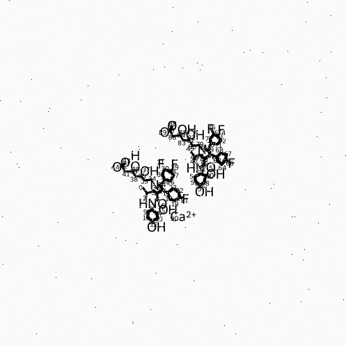 CC(C)c1c(C(=O)Nc2ccc(O)cc2O)c(-c2ccc(F)cc2)c(-c2ccc(F)c(F)c2)n1CC[C@@H](O)C[C@@H](O)CC(=O)[O-].CC(C)c1c(C(=O)Nc2ccc(O)cc2O)c(-c2ccc(F)cc2)c(-c2ccc(F)c(F)c2)n1CC[C@@H](O)C[C@@H](O)CC(=O)[O-].[Ca+2]